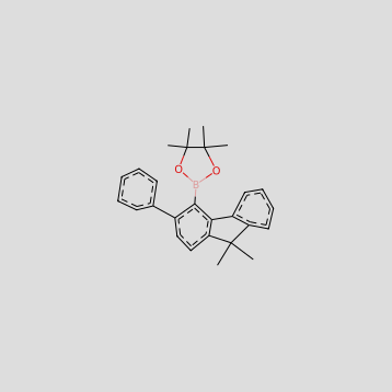 CC1(C)c2ccccc2-c2c1ccc(-c1ccccc1)c2B1OC(C)(C)C(C)(C)O1